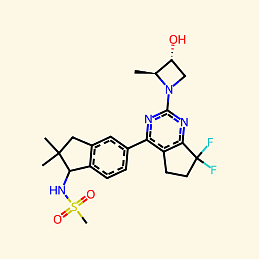 C[C@H]1[C@H](O)CN1c1nc(-c2ccc3c(c2)CC(C)(C)C3NS(C)(=O)=O)c2c(n1)C(F)(F)CC2